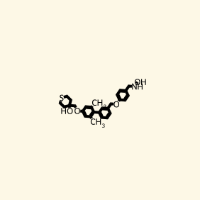 Cc1cc(OCC2(O)CCSCC2)cc(C)c1-c1cccc(COc2ccc(CNO)cc2)c1